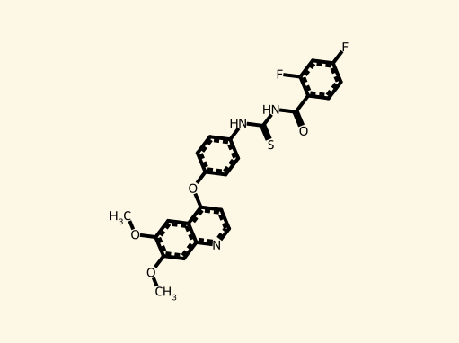 COc1cc2nccc(Oc3ccc(NC(=S)NC(=O)c4ccc(F)cc4F)cc3)c2cc1OC